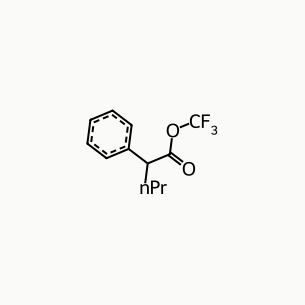 CCCC(C(=O)OC(F)(F)F)c1ccccc1